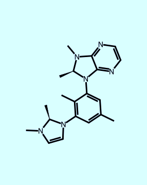 Cc1cc(N2C=CN(C)[C@H]2C)c(C)c(N2c3nccnc3N(C)[C@@H]2C)c1